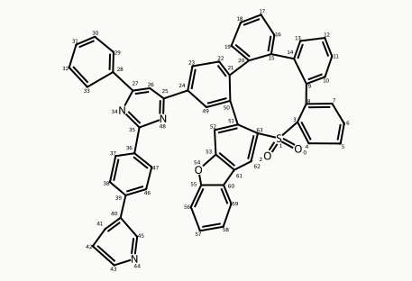 O=S1(=O)c2ccccc2-c2ccccc2-c2ccccc2-c2ccc(-c3cc(-c4ccccc4)nc(-c4ccc(-c5cccnc5)cc4)n3)cc2-c2cc3oc4ccccc4c3cc21